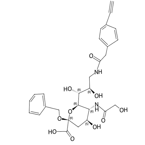 C#Cc1ccc(CC(=O)NC[C@@H](O)[C@@H](O)[C@@H]2O[C@@](OCc3ccccc3)(C(=O)O)C[C@H](O)[C@H]2NC(=O)CO)cc1